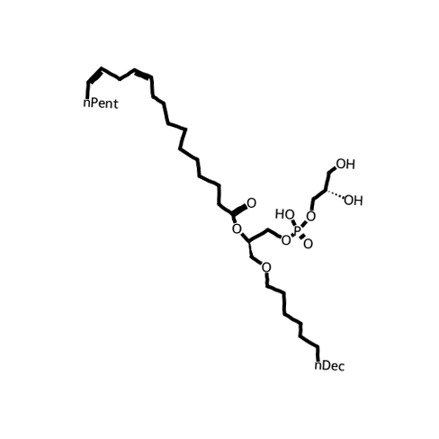 CCCCC/C=C\C/C=C\CCCCCCCCCC(=O)O[C@H](COCCCCCCCCCCCCCCCC)COP(=O)(O)OC[C@@H](O)CO